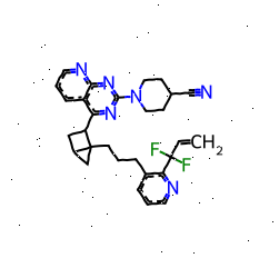 C=CC(F)(F)c1ncccc1CCCC12CC1CC2c1nc(N2CCC(C#N)CC2)nc2ncccc12